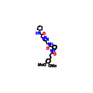 COc1ccc(/C=C/C(=O)Nc2ccccc2C(=O)NCc2cn(CC(=O)NC3C=CC=CC3)nn2)cc1OC